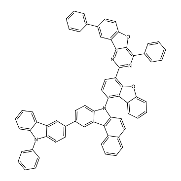 c1ccc(-c2ccc3oc4c(-c5ccccc5)nc(-c5ccc(-n6c7ccc(-c8ccc9c(c8)c8ccccc8n9-c8ccccc8)cc7c7c8ccccc8ccc76)c6c5oc5ccccc56)nc4c3c2)cc1